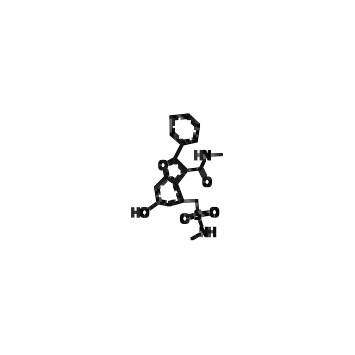 CNC(=O)c1c(-c2ccccc2)oc2cc(O)cc(CS(=O)(=O)NC)c12